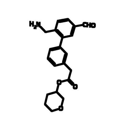 NCc1ccc(C=O)cc1-c1cccc(CC(=O)OC2CCCOC2)c1